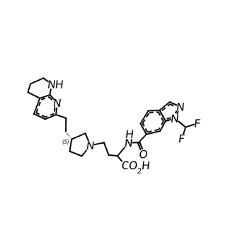 O=C(NC(CCN1CC[C@H](CCc2ccc3c(n2)NCCC3)C1)C(=O)O)c1ccc2cnn(C(F)F)c2c1